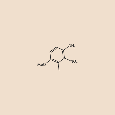 COc1ccc(N)c([N+](=O)[O-])c1C